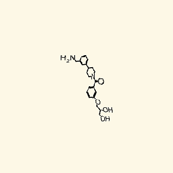 NCc1cccc(C2CCN(C(=O)c3cccc(OCC(O)CO)c3)CC2)c1